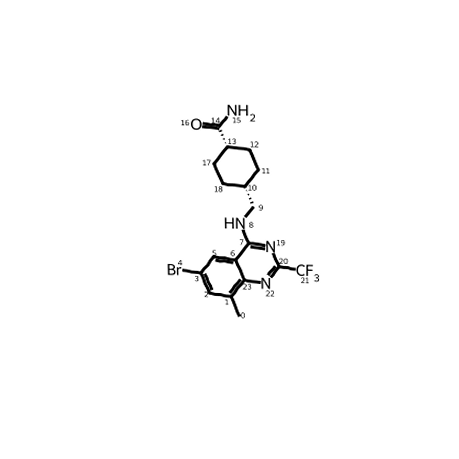 Cc1cc(Br)cc2c(NC[C@H]3CC[C@@H](C(N)=O)CC3)nc(C(F)(F)F)nc12